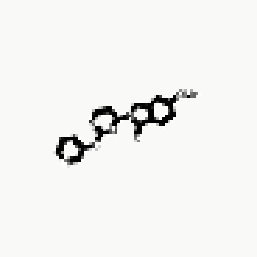 COc1ccc2c(c1)CN(c1ccnc(Oc3cccnc3)n1)C2=O